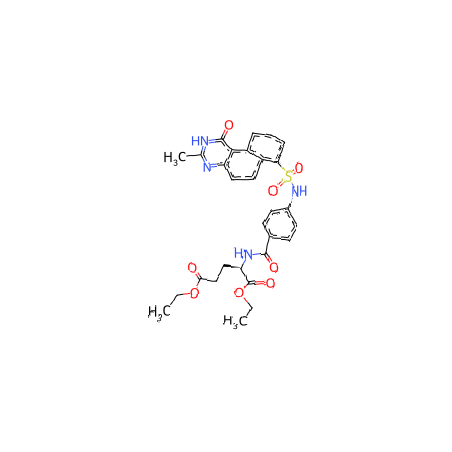 CCOC(=O)CC[C@@H](NC(=O)c1ccc(NS(=O)(=O)c2cccc3c2ccc2nc(C)[nH]c(=O)c23)cc1)C(=O)OCC